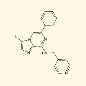 Ic1cnc2c(NCc3ccncc3)nc(-c3ccccc3)cn12